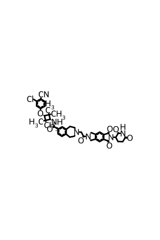 CC1(C)[C@H](NC(=O)c2ccc3c(c2)CCN(CC(=O)N2Cc4cc5c(cc4C2)C(=O)N(C2CCC(=O)NC2=O)C5=O)CC3)C(C)(C)[C@H]1Oc1ccc(C#N)c(Cl)c1